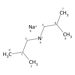 CC(C)C[N-]CC(C)C.[Na+]